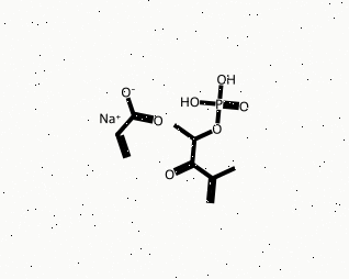 C=C(C)C(=O)C(C)OP(=O)(O)O.C=CC(=O)[O-].[Na+]